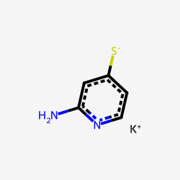 Nc1cc([S-])ccn1.[K+]